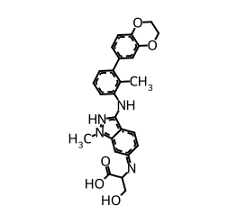 Cc1c(Nc2[nH]n(C)c3cc(=NC(CO)C(=O)O)ccc2-3)cccc1-c1ccc2c(c1)OCCO2